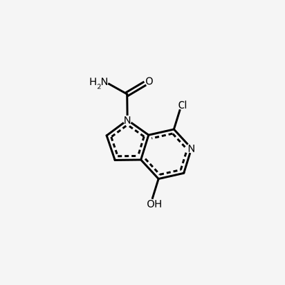 NC(=O)n1ccc2c(O)cnc(Cl)c21